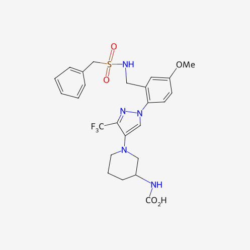 COc1ccc(-n2cc(N3CCCC(NC(=O)O)C3)c(C(F)(F)F)n2)c(CNS(=O)(=O)Cc2ccccc2)c1